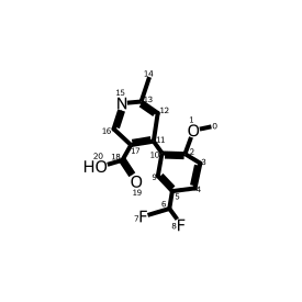 COc1ccc(C(F)F)cc1-c1cc(C)ncc1C(=O)O